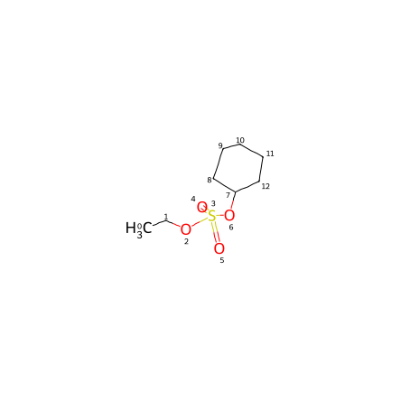 CCOS(=O)(=O)OC1CCCCC1